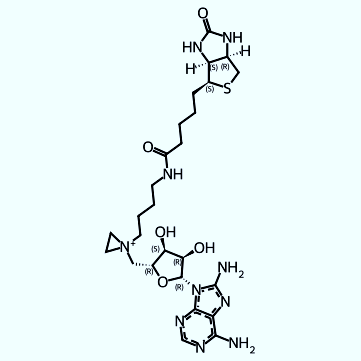 Nc1ncnc2c1nc(N)n2[C@@H]1O[C@H](C[N+]2(CCCCNC(=O)CCCC[C@@H]3SC[C@@H]4NC(=O)N[C@@H]43)CC2)[C@@H](O)[C@H]1O